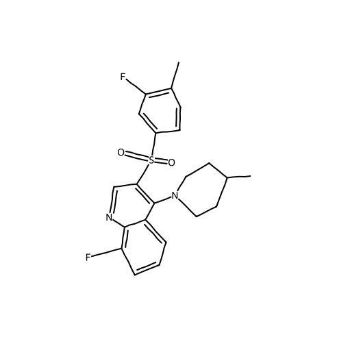 Cc1ccc(S(=O)(=O)c2cnc3c(F)cccc3c2N2CCC(C)CC2)cc1F